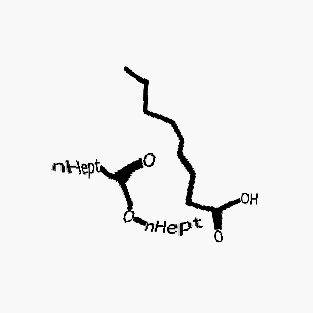 CCCCCCCC(=O)O.CCCCCCCOC(=O)CCCCCCC